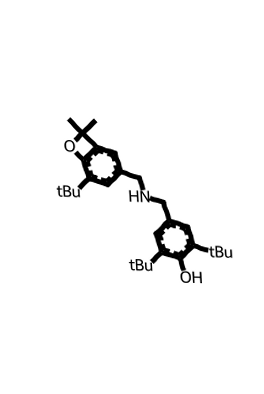 CC(C)(C)c1cc(CNCc2cc(C(C)(C)C)c3c(c2)C(C)(C)O3)cc(C(C)(C)C)c1O